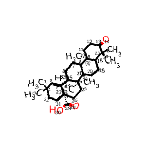 CC1(C)C=C2[C@H]3CCC4[C@@]5(C)CCC(=O)C(C)(C)C5CC[C@@]4(C)[C@@]3(C)CC[C@@]2(C(=O)O)CC1